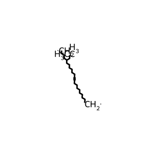 [CH2]CCCCCCCCCC#CCCCCCCC(CCC[CH2])CC(C)C